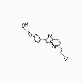 OCCOc1ccc(-c2cn3nc(CCC4CC4)ccc3n2)cc1